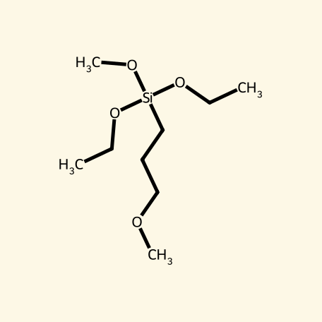 CCO[Si](CCCOC)(OC)OCC